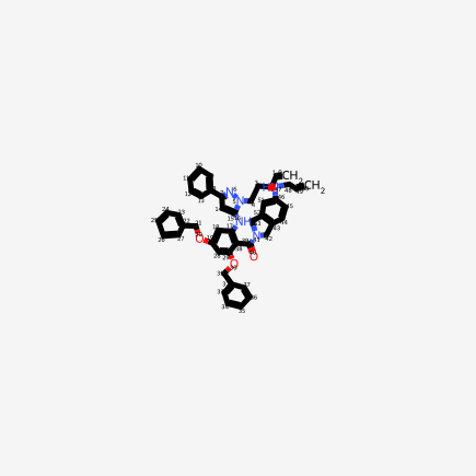 C=CCCCn1nc(-c2ccccc2)cc1Nc1cc(OCc2ccccc2)cc(OCc2ccccc2)c1C(=O)N1Cc2ccc(NCC=C)cc2C1